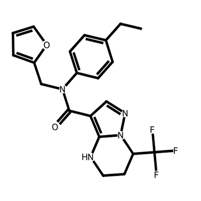 CCc1ccc(N(Cc2ccco2)C(=O)c2cnn3c2NCCC3C(F)(F)F)cc1